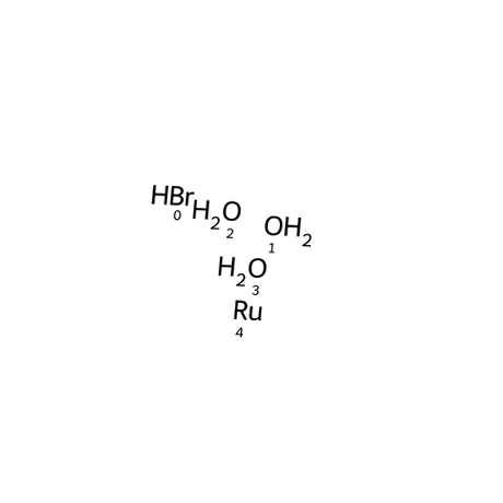 Br.O.O.O.[Ru]